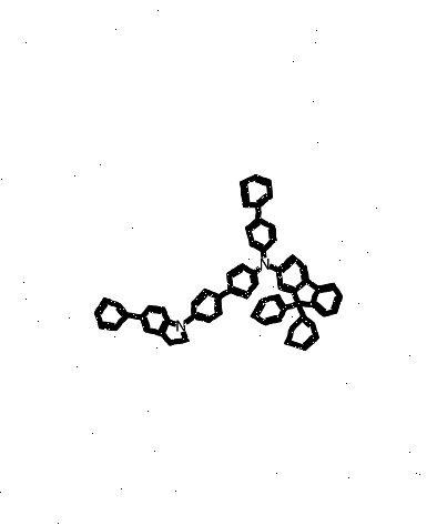 C1=CCCC(C2(c3ccccc3)c3ccccc3-c3ccc(N(c4ccc(-c5ccccc5)cc4)c4ccc(-c5ccc(N6CCc7cc(-c8ccccc8)ccc76)cc5)cc4)cc32)=C1